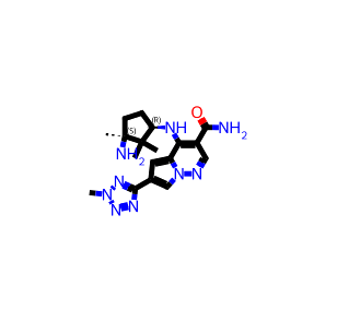 Cn1nnc(-c2cc3c(N[C@@H]4CC[C@](C)(N)C4(C)C)c(C(N)=O)cnn3c2)n1